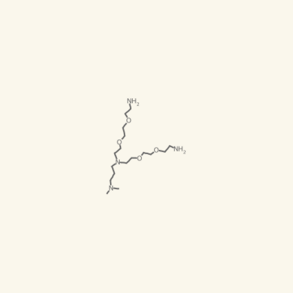 CN(C)CCCN(CCOCCOCCN)CCOCCOCCN